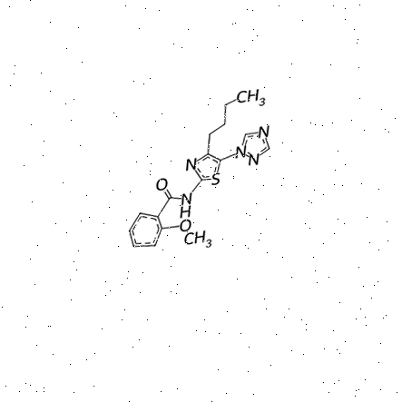 CCCCc1nc(NC(=O)c2ccccc2OC)sc1-n1cncn1